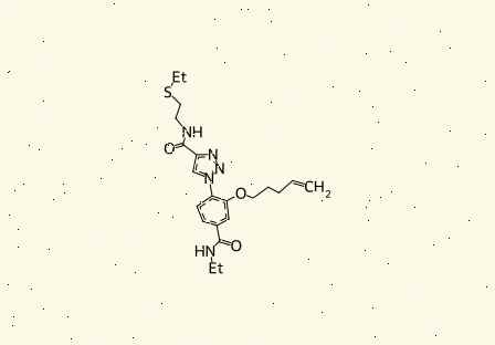 C=CCCCOc1cc(C(=O)NCC)ccc1-n1cc(C(=O)NCCSCC)nn1